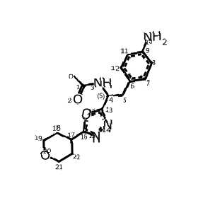 CC(=O)N[C@@H](Cc1ccc(N)cc1)c1nnc(C2CCOCC2)o1